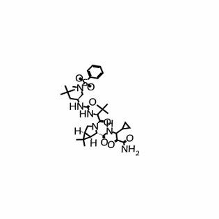 CN(C[C@H](CC(C)(C)C)NC(=O)N[C@H](C(=O)N1C[C@H]2[C@@H]([C@H]1C(=O)NC(C(=O)C(N)=O)C1CC1)C2(C)C)C(C)(C)C)S(=O)(=O)c1ccccc1